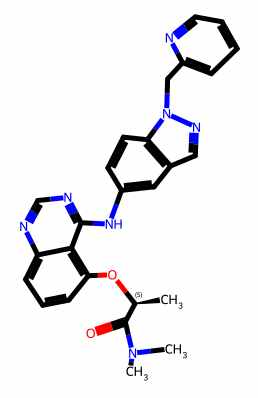 C[C@H](Oc1cccc2ncnc(Nc3ccc4c(cnn4Cc4ccccn4)c3)c12)C(=O)N(C)C